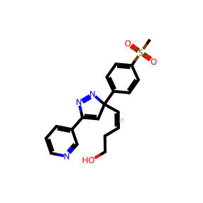 CS(=O)(=O)c1ccc(C2(/C=C\CCO)C=C(c3cccnc3)N=N2)cc1